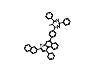 CC1C(c2ccccc2)=NC(c2ccccc2)=NC1c1ccc(-c2cc3nc(-c4ccc5ccccc5c4)cc(-c4ccccc4)c3c3ccccc23)cc1